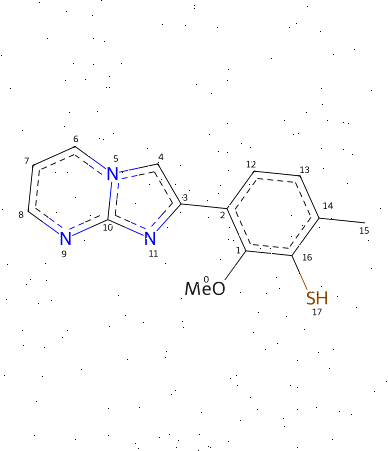 COc1c(-c2cn3cccnc3n2)ccc(C)c1S